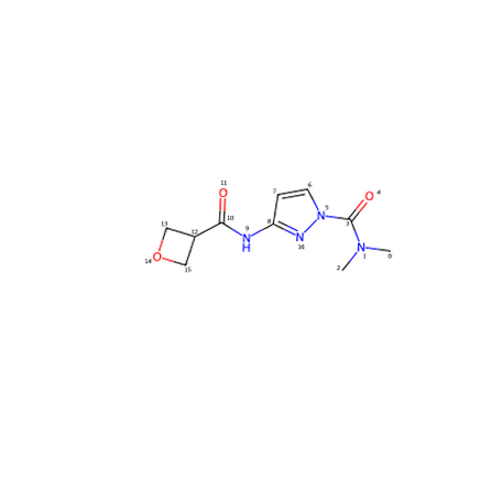 CN(C)C(=O)n1ccc(NC(=O)C2COC2)n1